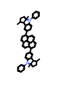 CC1CCC2(C)C1c1cc(-c3ccc4ccc5c(-c6ccc7c(c6)C6C(C)CCC6(C)N7c6ccccc6)ccc6ccc3c4c65)ccc1N2c1ccccc1